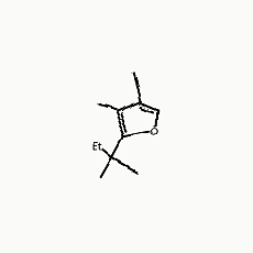 CCC(C)(C)c1occ(C)c1C